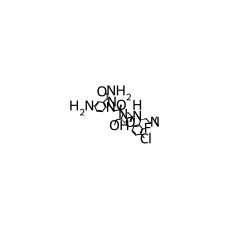 C[C@@H](CO)N(CC(=O)N[C@@H](CCN(C)C)c1cccc(Cl)c1F)C(=O)Cn1nc(C(N)=O)c2cc(N)ccc21